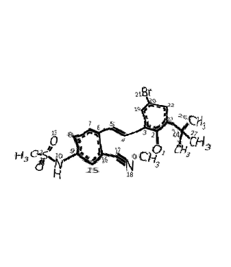 COc1c(C=Cc2ccc(NS(C)(=O)=O)cc2C#N)cc(Br)cc1C(C)(C)C